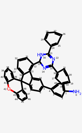 Nc1ccc(-c2ccc3c(c2)-c2c(C4N=C(c5ccccc5)N=C(c5ccccc5)N4)cccc2C32c3ccccc3Oc3ccccc32)cc1